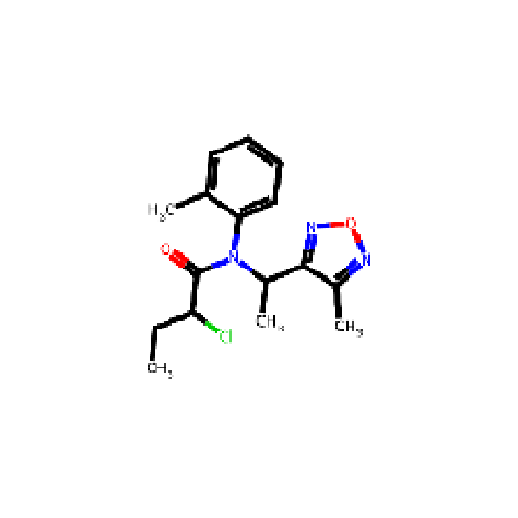 CCC(Cl)C(=O)N(c1ccccc1C)C(C)c1nonc1C